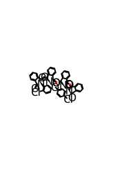 O=C1c2ccccc2C(=O)N1c1c(Cl)ccc(Oc2ccc(Cl)c(N3C(=O)c4ccccc4C3=O)c2N2C(=O)c3ccccc3C2=O)c1N1C(=O)c2ccccc2C1=O